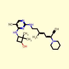 C#C/C(=C\C=C(/C)CCNc1ncc(C#N)c(N[C@@H]2C[C@H](O)C2(C)C)n1)N1CCCCC1